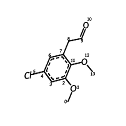 COc1cc(Cl)cc(CC=O)c1OC